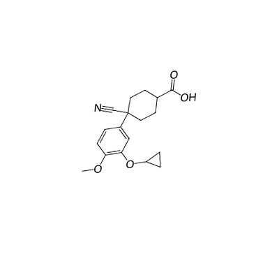 COc1ccc(C2(C#N)CCC(C(=O)O)CC2)cc1OC1CC1